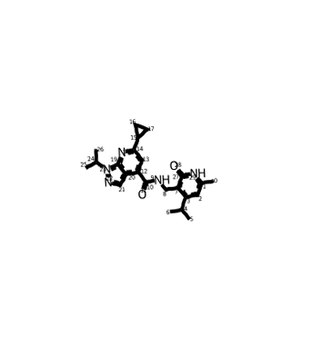 Cc1cc(C(C)C)c(CNC(=O)c2cc(C3CC3)nc3c2cnn3C(C)C)c(=O)[nH]1